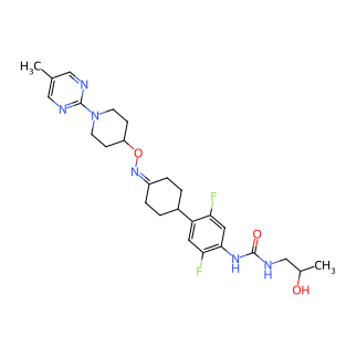 Cc1cnc(N2CCC(ON=C3CCC(c4cc(F)c(NC(=O)NCC(C)O)cc4F)CC3)CC2)nc1